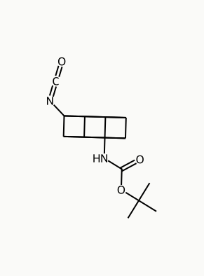 CC(C)(C)OC(=O)NC12C3C4C1C1C2C3C41N=C=O